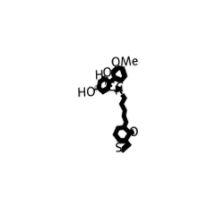 COc1ccc2c3c1O[C@H]1C[C@@H](O)C=C[C@@]31CCN(CCCCCC1CCc3sccc3C1=O)C2